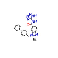 CCc1nc2ccc(C(=O)Nc3nnn[nH]3)cc2n1Cc1ccc(-c2ccccc2)cc1